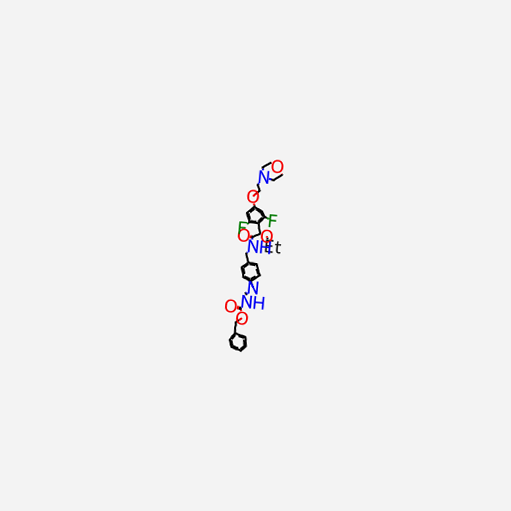 CCOC(C(=O)NCc1ccc(/N=C/NC(=O)OCc2ccccc2)cc1)c1c(F)cc(OCCN2CCOCC2)cc1F